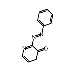 O=C1CC=CN=C1N=Nc1[c]cccc1